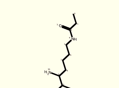 CCC(=O)NCCCCC(N)C(C)C